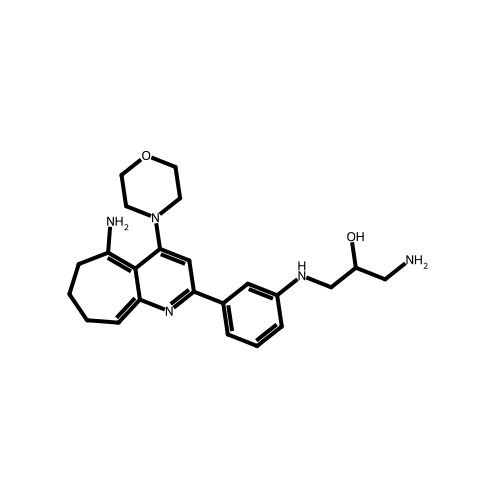 NCC(O)CNc1cccc(-c2cc(N3CCOCC3)c3c(n2)=CCCCC=3N)c1